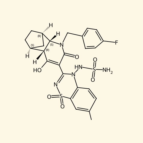 Cc1ccc2c(c1)S(=O)(=O)N=C(C1=C(O)[C@@H]3[C@H]4CC[C@H](C4)[C@@H]3N(Cc3ccc(F)cc3)C1=O)N2NS(N)(=O)=O